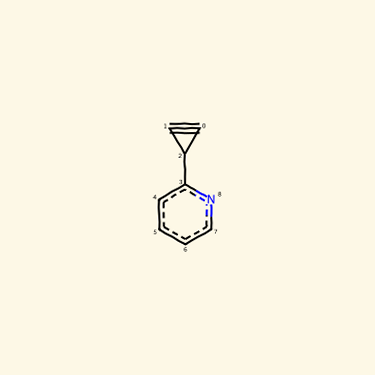 C1#CC1c1ccccn1